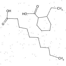 CCC1CCCCC1C(=O)O.CCCCCCCCCC(=O)O